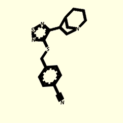 N#Cc1ccc(CSc2nsnc2C2CN3CCCC2C3)cc1